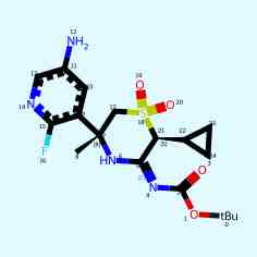 CC(C)(C)OC(=O)/N=C1/N[C@](C)(c2cc(N)cnc2F)CS(=O)(=O)[C@H]1C1CC1